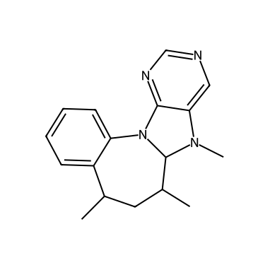 CC1CC(C)C2N(C)c3cncnc3N2c2ccccc21